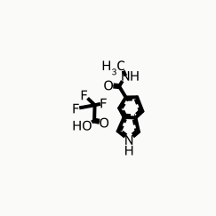 CNC(=O)c1ccc2c[nH]cc2c1.O=C(O)C(F)(F)F